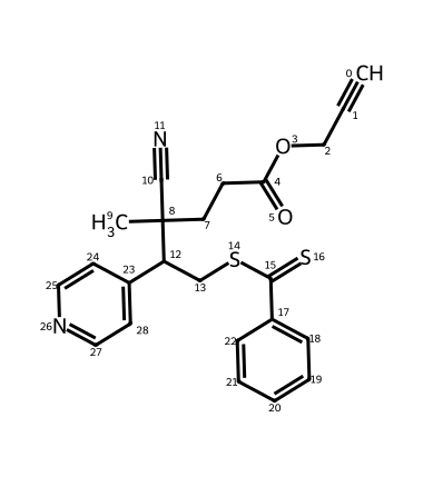 C#CCOC(=O)CCC(C)(C#N)C(CSC(=S)c1ccccc1)c1ccncc1